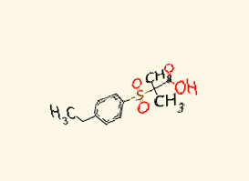 CCc1ccc(S(=O)(=O)C(C)(C)C(=O)O)cc1